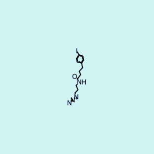 [N-]=[N+]=NCCCNC(=O)CCCc1ccc(I)cc1